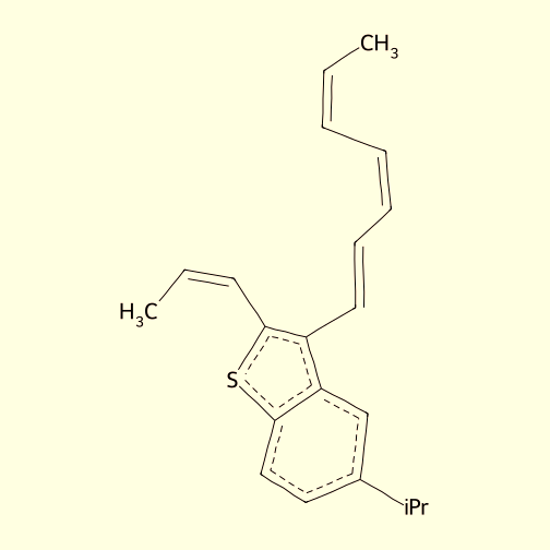 C\C=C/C=C\C=C\c1c(/C=C\C)sc2ccc(C(C)C)cc12